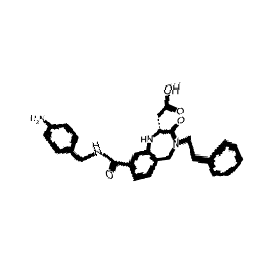 Nc1ccc(CNC(=O)c2ccc3c(c2)N[C@H](CC(=O)O)C(=O)N(CCc2ccccc2)C3)cc1